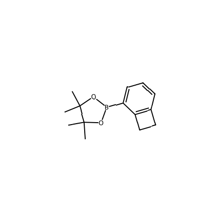 CC1(C)OB(c2cccc3c2CC3)OC1(C)C